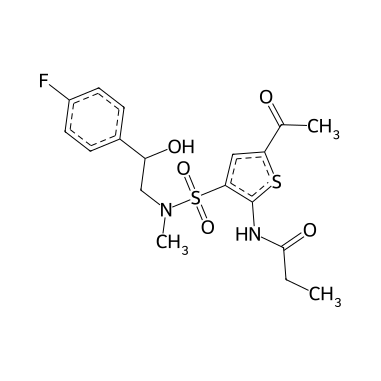 CCC(=O)Nc1sc(C(C)=O)cc1S(=O)(=O)N(C)CC(O)c1ccc(F)cc1